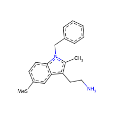 CSc1ccc2c(c1)c(CCN)c(C)n2Cc1ccccc1